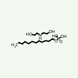 CCCCCCCCCCCCOP(=O)(O)O.OCCNCCO